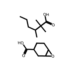 CCCC(C)C(C)(C)C(=O)O.O=C(O)C1CCC2OC2C1